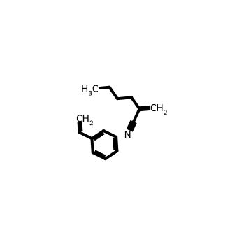 C=C(C#N)CCCC.C=Cc1ccccc1